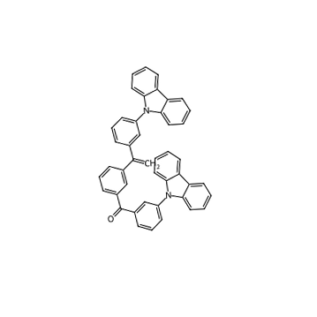 C=C(c1cccc(C(=O)c2cccc(-n3c4ccccc4c4ccccc43)c2)c1)c1cccc(-n2c3ccccc3c3ccccc32)c1